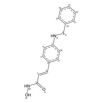 O=C(/C=C/c1ccc(NSc2ccccc2)cc1)NO